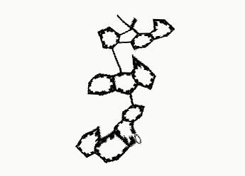 CC1(C)c2cccc(-c3c4ccccc4c(-c4ccc5oc6ccc7ccccc7c6c5c4)c4ccccc34)c2-c2ccc3ccccc3c21